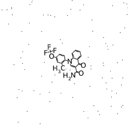 Cc1cc(OC(F)(F)F)ccc1-n1cc(C(N)=O)c(=O)c2ccccc21